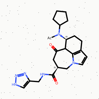 CC(=O)N(C1CCCC1)[C@H]1CCc2ccn3c2C1C(=O)C[C@H](C(=O)NCc1c[nH]nn1)C3